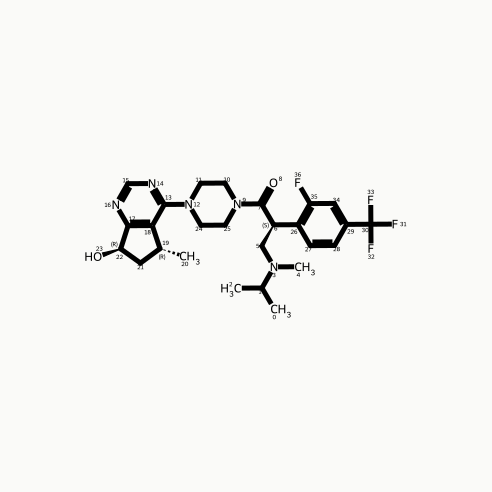 CC(C)N(C)C[C@@H](C(=O)N1CCN(c2ncnc3c2[C@H](C)C[C@H]3O)CC1)c1ccc(C(F)(F)F)cc1F